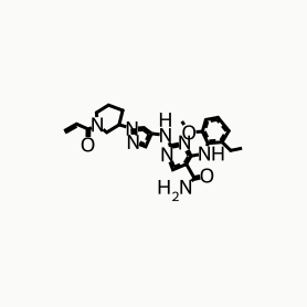 C=CC(=O)N1CCCC(n2cc(Nc3ncc(C(N)=O)c(Nc4c(CC)cccc4OC)n3)cn2)C1